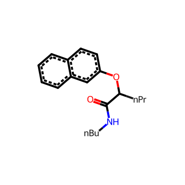 CCCCNC(=O)C(CCC)Oc1ccc2ccccc2c1